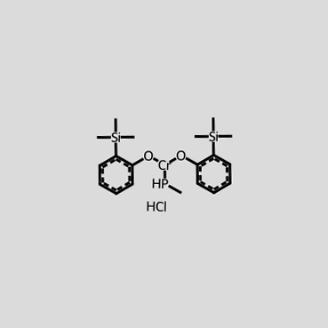 C[PH][Cr]([O]c1ccccc1[Si](C)(C)C)[O]c1ccccc1[Si](C)(C)C.Cl